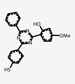 COc1ccc(-c2nc(-c3ccccc3)nc(-c3ccc(S)cc3)n2)c(O)c1